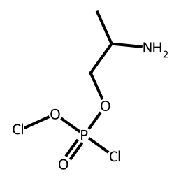 CC(N)COP(=O)(Cl)OCl